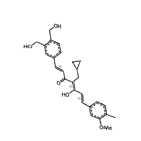 COc1cc(/C=C/C(O)=C(\CC2CC2)C(=O)/C=C/c2ccc(CO)c(CO)c2)ccc1C